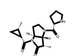 C[C@@H]1C(=O)N(C(=O)[C@@H]2C[C@@H]2C)[C@H]2CCN(C(=O)[C@@H]3CCCN3)[C@H]12